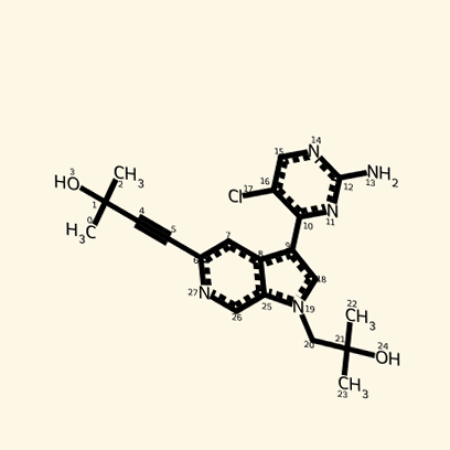 CC(C)(O)C#Cc1cc2c(-c3nc(N)ncc3Cl)cn(CC(C)(C)O)c2cn1